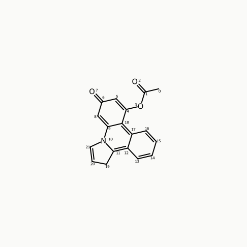 CC(=O)Oc1cc(=O)cc2n3c(c4ccccc4c1-2)CC=C3